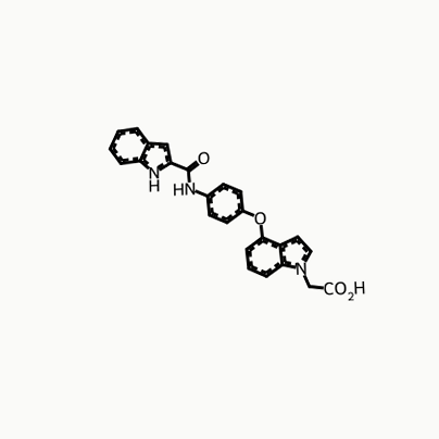 O=C(O)Cn1ccc2c(Oc3ccc(NC(=O)c4cc5ccccc5[nH]4)cc3)cccc21